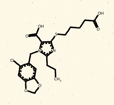 CCCc1nc(SCCCCC(=O)O)c(C(=O)O)n1Cc1cc2c(cc1Cl)OCO2